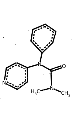 CN(C)C(=O)N(c1ccccc1)c1ccncc1